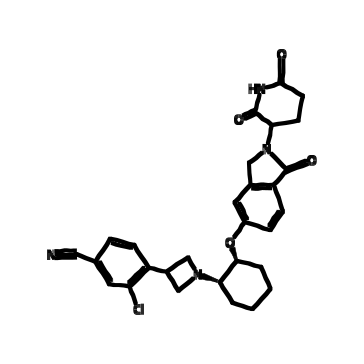 N#Cc1ccc(C2CN([C@@H]3CCCC[C@@H]3Oc3ccc4c(c3)CN(C3CCC(=O)NC3=O)C4=O)C2)c(Cl)c1